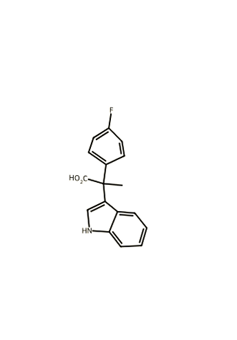 CC(C(=O)O)(c1ccc(F)cc1)c1c[nH]c2ccccc12